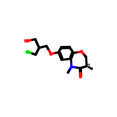 C[C@H]1COc2ccc(OCC(CO)CCl)cc2N(C)C1=O